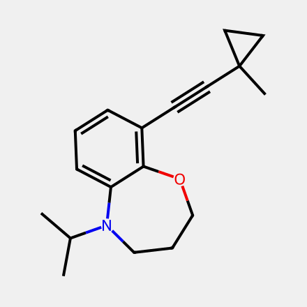 CC(C)N1CCCOc2c(C#CC3(C)CC3)cccc21